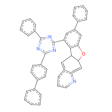 C1=c2cccnc2=CC2Oc3cc(-c4ccccc4)cc(-c4nc(-c5ccccc5)nc(-c5ccc(-c6ccccc6)cc5)n4)c3C12